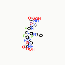 O=C(O)NC(C(=O)N1CCCC1c1nc2cc([C@H]3CC[C@@H](c4cc5nc(C6CCCN6C(=O)[C@@H](NC(=O)O)C6CCOCC6)[nH]c5cc4F)N3c3cc(F)c(N4CCC(c5ccccc5)CC4)c(F)c3)c(F)cc2[nH]1)C1CCOCC1